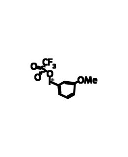 COc1cccc([I+]OS(=O)(=O)C(F)(F)F)c1